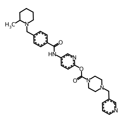 CC1CCCCN1Cc1ccc(C(=O)Nc2ccc(OC(=O)N3CCN(Cc4cccnc4)CC3)nc2)cc1